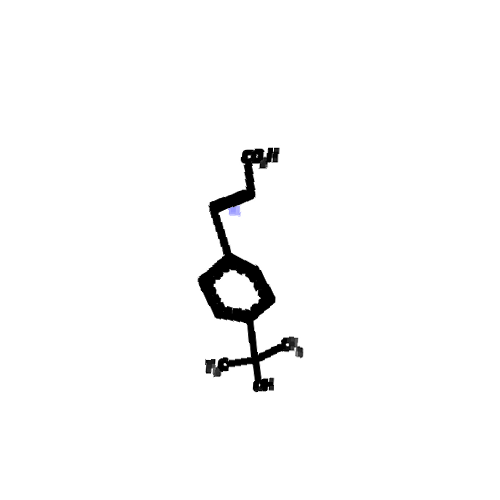 O=C(O)/C=C/c1ccc(C(O)(C(F)(F)F)C(F)(F)F)cc1